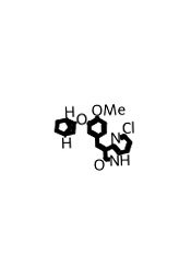 COc1ccc(/C=C2/C(=O)Nc3ccc(Cl)nc32)cc1O[C@H]1C[C@@H]2CC[C@H]1C2